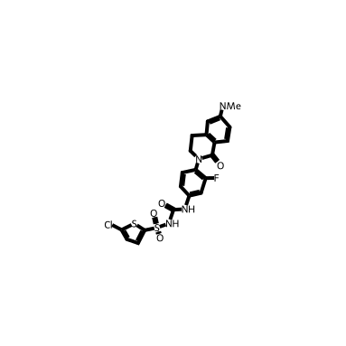 CNc1ccc2c(c1)CCN(c1ccc(NC(=O)NS(=O)(=O)c3ccc(Cl)s3)cc1F)C2=O